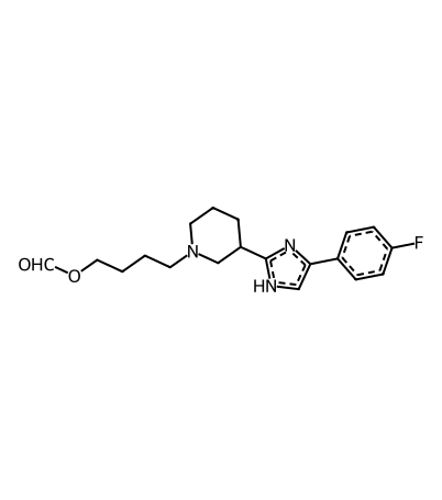 O=COCCCCN1CCCC(c2nc(-c3ccc(F)cc3)c[nH]2)C1